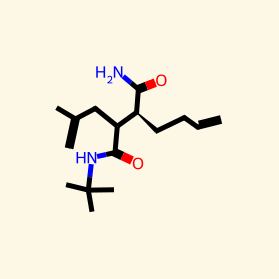 C=CCC[C@H](C(N)=O)C(CC(=C)C)C(=O)NC(C)(C)C